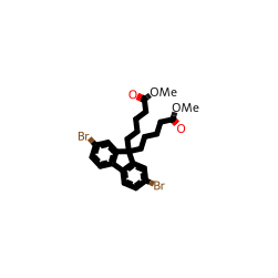 COC(=O)CCCCC1(CCCCC(=O)OC)c2cc(Br)ccc2-c2ccc(Br)cc21